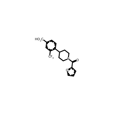 O=C(O)c1ccc(C2CCN(C(=O)c3ccco3)CC2)c(C(F)(F)F)c1